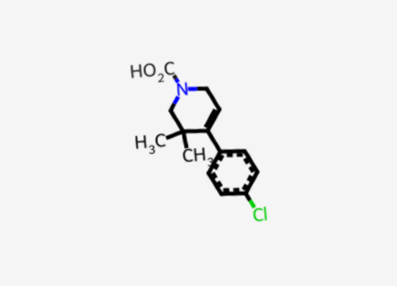 CC1(C)CN(C(=O)O)CC=C1c1ccc(Cl)cc1